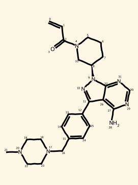 C=CC(=O)N1CCC[C@@H](n2nc(-c3ccc(CN4CCN(C)CC4)cc3)c3c(N)ncnc32)C1